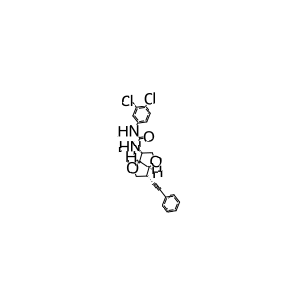 O=C(Nc1ccc(Cl)c(Cl)c1)N[C@H]1CO[C@@H]2[C@@H]1OC[C@H]2C#Cc1ccccc1